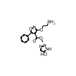 COC(=O)c1c(OCCN)noc1-c1ccccc1.Cl.c1c[nH]nn1